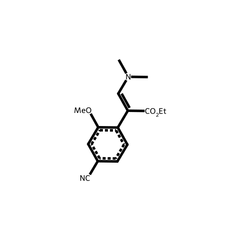 CCOC(=O)C(=CN(C)C)c1ccc(C#N)cc1OC